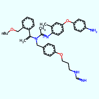 C=C(c1ccccc1COCCCC)N(Cc1ccc(OCCCNC=N)cc1)/C(C)=N/c1ccc(Oc2ccc(N)cc2)cc1C